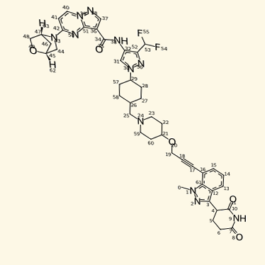 Cn1nc(C2CCC(=O)NC2=O)c2cccc(C#CCOC3CCN(CC4CCC(n5cc(NC(=O)c6cnn7ccc(N8C[C@H]9C[C@@H]8CO9)nc67)c(C(F)F)n5)CC4)CC3)c21